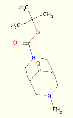 CN1CC2CN(C(=O)OC(C)(C)C)CC(C1)C2=O